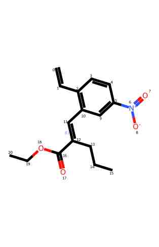 C=Cc1ccc([N+](=O)[O-])cc1/C=C(\CCC)C(=O)OCC